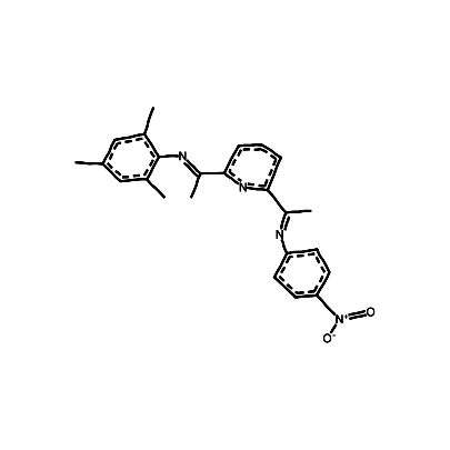 C/C(=N\c1ccc([N+](=O)[O-])cc1)c1cccc(/C(C)=N/c2c(C)cc(C)cc2C)n1